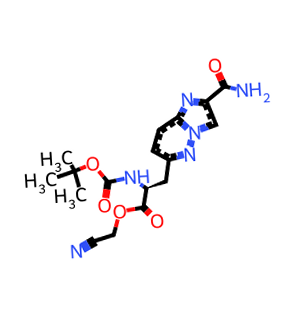 CC(C)(C)OC(=O)N[C@@H](Cc1ccc2nc(C(N)=O)cn2n1)C(=O)OCC#N